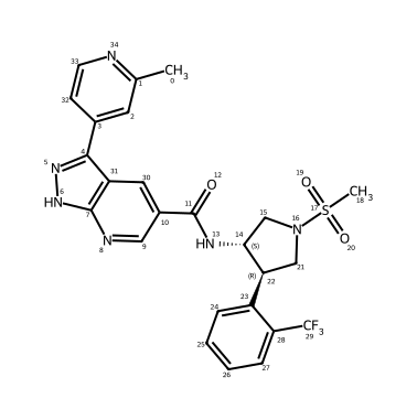 Cc1cc(-c2n[nH]c3ncc(C(=O)N[C@@H]4CN(S(C)(=O)=O)C[C@H]4c4ccccc4C(F)(F)F)cc23)ccn1